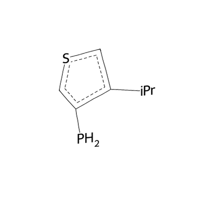 CC(C)c1cscc1P